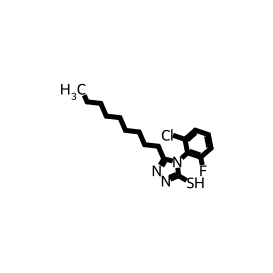 CCCCCCCCCc1nnc(S)n1-c1c(F)cccc1Cl